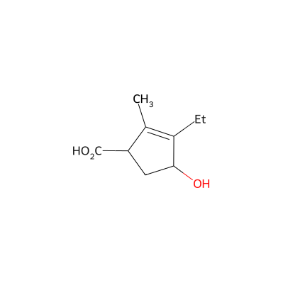 CCC1=C(C)C(C(=O)O)CC1O